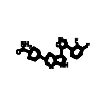 NC(=O)c1ccc(-c2cnc3[nH]cc(-c4oncc4-c4cccc(F)c4F)c3c2)cc1